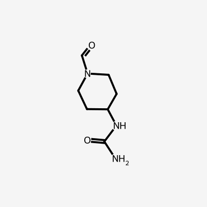 NC(=O)NC1CCN(C=O)CC1